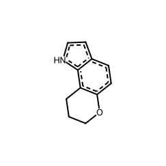 c1cc2ccc3c(c2[nH]1)CCCO3